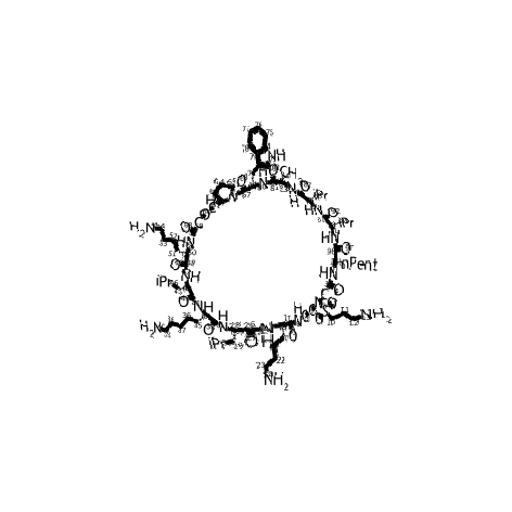 CCCCC[C@@H]1NC(=O)CN(S(=O)(=O)CCCN)CCNC(=O)[C@H](CCCCN)NC(=O)[C@H](CC(C)C)NC(=O)[C@H](CCCCCN)NC(=O)[C@H](CC(C)C)NC(=O)[C@H](CCCCN)NC(=O)COC[C@H]2CCCN2C(=O)[C@H](Cc2c[nH]c3ccccc23)NC(=O)[C@H](C)NC(=O)[C@H](C(C)C)NC(=O)[C@H](C(C)C)NC1=O